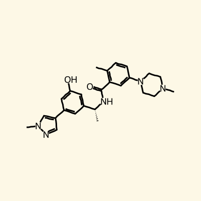 Cc1ccc(N2CCN(C)CC2)cc1C(=O)N[C@H](C)c1cc(O)cc(-c2cnn(C)c2)c1